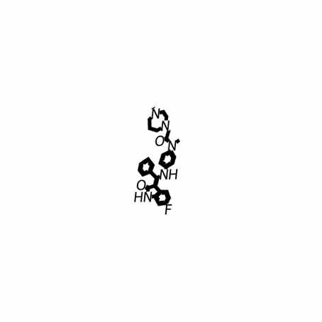 CN1CCCN(CC(=O)N(C)c2ccc(NC(=C3C(=O)Nc4cc(F)ccc43)c3ccccc3)cc2)CC1